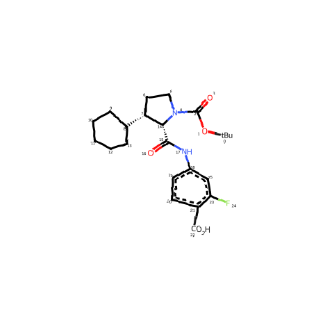 CC(C)(C)OC(=O)N1CC[C@@H](C2CCCCC2)[C@H]1C(=O)Nc1ccc(C(=O)O)c(F)c1